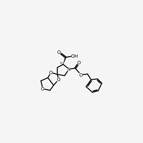 O=C(O)[C@@H]1CC2(CN1C(=O)OCc1ccccc1)OC1COCC1O2